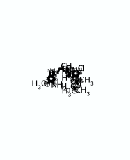 COc1cc2cnn(CCC(C)NC(=O)c3cnc4c(N(C)C(=O)OC(C)(C)C)cc(Cl)nn34)c2cc1N